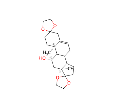 C[C@]12CCC3(CC1=CCC1C2[C@@H](O)C[C@@]2(C)C1CCC21OCCO1)OCCO3